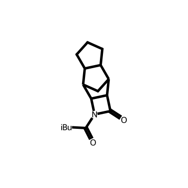 CCC(C)C(=O)N1C(=O)C2C3CC(C4CCCC43)C21